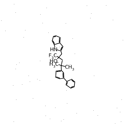 CC(C)(CC(O)(Cc1cc2ccccc2[nH]1)C(F)(F)F)c1cccc(-c2ccccc2)c1